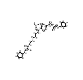 CC(C)C[C@H](NC(=O)[C@H]1O[C@@H]1C(=O)OCc1ccccc1)C(=O)NCCCCCCCNC(=O)OCc1ccccc1